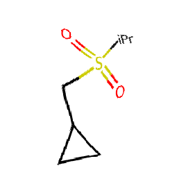 CC(C)S(=O)(=O)CC1CC1